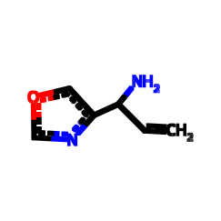 C=CC(N)c1cocn1